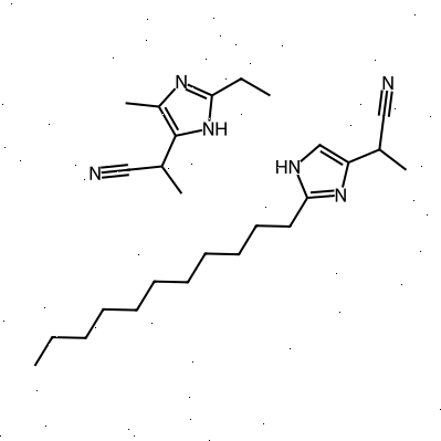 CCCCCCCCCCCc1nc(C(C)C#N)c[nH]1.CCc1nc(C)c(C(C)C#N)[nH]1